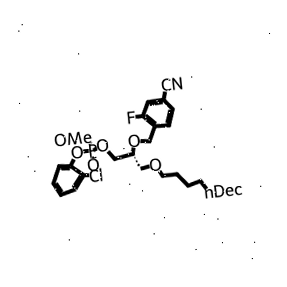 CCCCCCCCCCCCCCOC[C@H](COP(=O)(OC)Oc1ccccc1Cl)OCc1ccc(C#N)cc1F